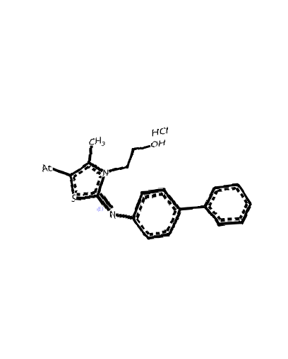 CC(=O)c1s/c(=N/c2ccc(-c3ccccc3)cc2)n(CCO)c1C.Cl